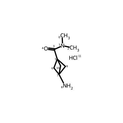 CN(C)C(=O)C12CC(N)(C1)C2.Cl